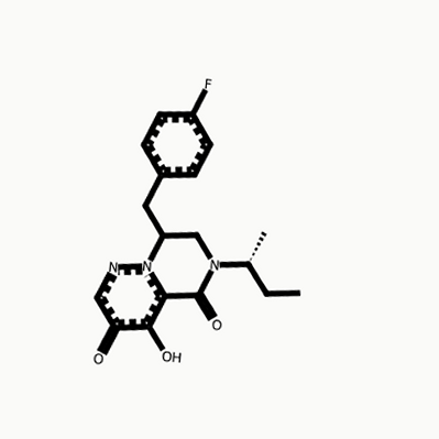 CC[C@@H](C)N1CC(Cc2ccc(F)cc2)n2ncc(=O)c(O)c2C1=O